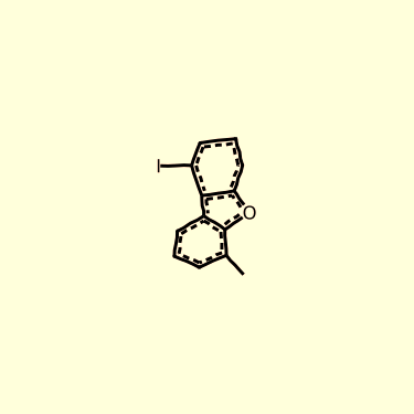 Cc1cccc2c1oc1cccc(I)c12